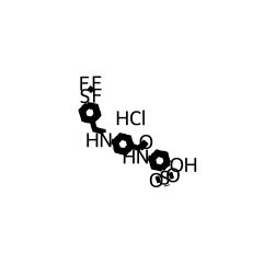 CS(=O)(=O)c1cc(NC(=O)c2ccc(NCCc3ccc(SC(F)(F)F)cc3)cc2)ccc1O.Cl